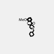 COc1cccc2c1CCC1(CCN(CC3CCCCC3)CC1)C2=O